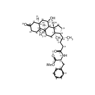 COC(=O)[C@H](Cc1ccccc1)NC(=O)CC[C@@H](C)[C@H]1CC[C@H]2[C@@H]3[C@H](O)C[C@@H]4CC(=O)CC[C@]4(C)[C@H]3CC[C@]12C